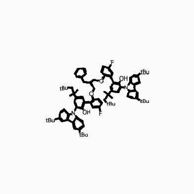 CC(C)(C)CC(C)(C)c1cc(-c2cc(F)ccc2OCC(COc2ccc(F)cc2-c2cc(C(C)(C)CC(C)(C)C)cc(-n3c4ccc(C(C)(C)C)cc4c4cc(C(C)(C)C)ccc43)c2O)Cc2ccccc2)c(O)c(-n2c3ccc(C(C)(C)C)cc3c3cc(C(C)(C)C)ccc32)c1